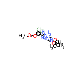 CCOCCOc1cc(Cl)c(Cl)c(-c2nnc(N3CCN(C(=O)OC(C)(C)C)CC3)nc2N)c1